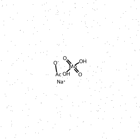 CC(=O)[O-].[Na+].[O]=[Mo](=[O])([OH])[OH]